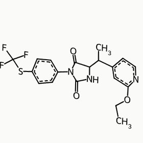 CCOc1cc(C(C)C2NC(=O)N(c3ccc(SC(F)(F)F)cc3)C2=O)ccn1